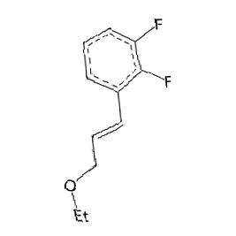 [CH2]COC/C=C/c1cccc(F)c1F